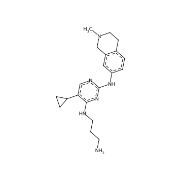 CN1CCc2ccc(Nc3ncc(C4CC4)c(NCCCN)n3)cc2C1